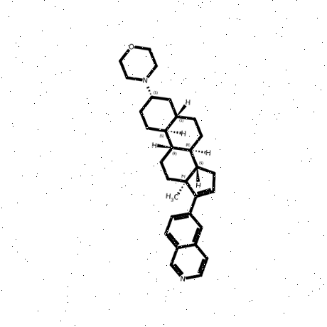 C[C@]12CC[C@H]3[C@@H](CC[C@H]4C[C@@H](N5CCOCC5)CC[C@@H]43)[C@@H]1CC=C2c1ccc2cnccc2c1